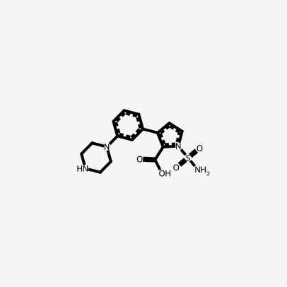 NS(=O)(=O)n1ccc(-c2cccc(N3CCNCC3)c2)c1C(=O)O